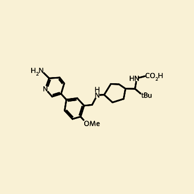 COc1ccc(-c2ccc(N)nc2)cc1CNC1CCC(C(NC(=O)O)C(C)(C)C)CC1